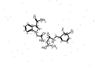 C[C@@H](O)[C@H](NC(=O)Cn1nc(C(N)=O)c2ccccc21)C(=O)NCc1cccc(Cl)c1F